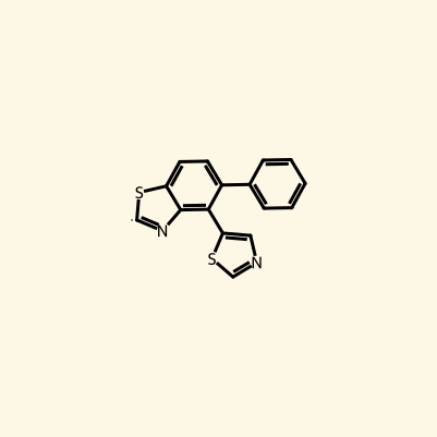 [c]1nc2c(-c3cncs3)c(-c3ccccc3)ccc2s1